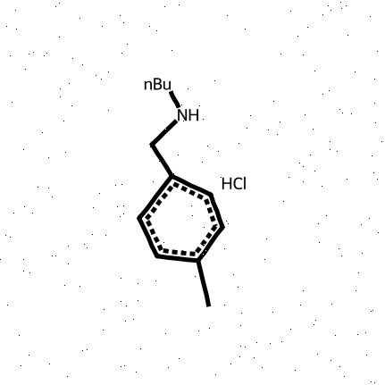 CCCCNCc1ccc(C)cc1.Cl